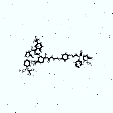 CC(C)N(C)[C@@H]1CC[C@H](N2CC[C@H](Nc3ncnc4ccc(C(F)(F)F)cc34)C2=O)[C@H](NC(=O)C2CCC(NC(=O)CCCOC3CCC(OCCNC(=O)[C@H]4CC(=O)N(C)[C@@H]4c4cccnc4)CC3)CC2)C1